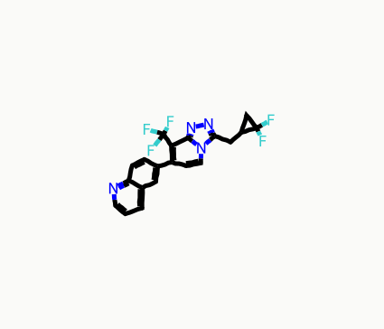 FC(F)(F)c1c(-c2ccc3ncccc3c2)ccn2c(CC3CC3(F)F)nnc12